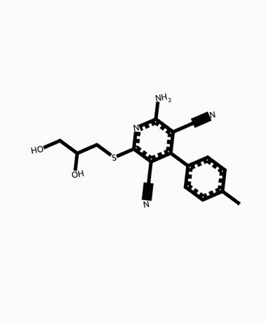 Cc1ccc(-c2c(C#N)c(N)nc(SCC(O)CO)c2C#N)cc1